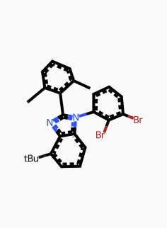 Cc1cccc(C)c1-c1nc2c(C(C)(C)C)cccc2n1-c1cccc(Br)c1Br